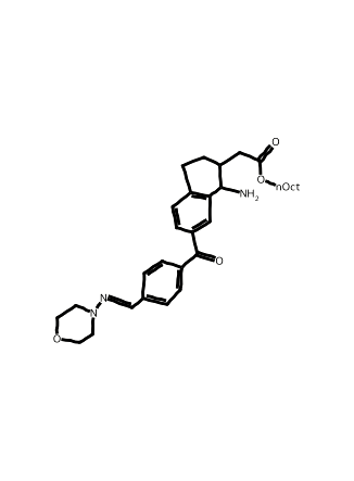 CCCCCCCCOC(=O)CC1CCc2ccc(C(=O)c3ccc(C=NN4CCOCC4)cc3)cc2C1N